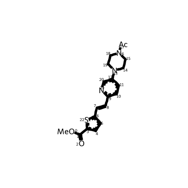 COC(=O)c1ccc(C=Cc2ccc(N3CCN(C(C)=O)CC3)cn2)s1